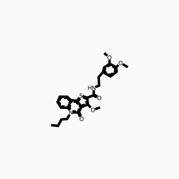 CCCCn1c(=O)c2c(OC)c(C(=O)NCCc3ccc(OC)c(OC)c3)sc2c2ccccc21